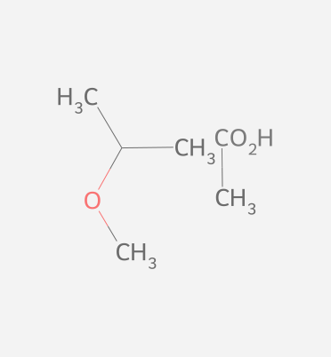 CC(=O)O.COC(C)C